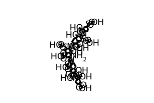 Nc1c(N=Nc2ccc3c(O)c(N=Nc4ccc(S(=O)(=O)O)cc4C(=O)O)c(S(=O)(=O)O)cc3c2S(=O)(=O)O)cc(S(=O)(=O)O)c2cc(SOOO)c(N=Nc3ccc4c(O)c(N=Nc5ccc(SOOO)cc5C(=O)O)c(SOOO)cc4c3S(=O)(=O)O)c(O)c12